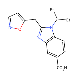 CCC(CC)n1c(Cc2ccno2)nc2cc(C(=O)O)ccc21